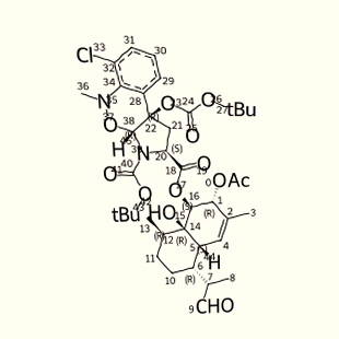 CC(=O)O[C@@H]1C(C)=C[C@@H]2[C@H](C(C)C=O)CC[C@@H](C)[C@]2(O)[C@H]1OC(=O)[C@@H]1C[C@@]2(OC(=O)OC(C)(C)C)c3cccc(Cl)c3N(C)O[C@H]2N1C(=O)OC(C)(C)C